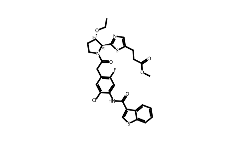 CCO[C@H]1CCN(C(=O)Cc2cc(Cl)c(NC(=O)c3csc4ccccc34)cc2F)[C@@H]1c1ncc(CCC(=O)OC)s1